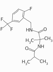 CC(C)C(=O)NC(C)(C)C(=O)NCc1cc(C(F)(F)F)ccc1F